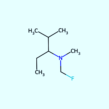 CCC(C(C)C)N(C)CF